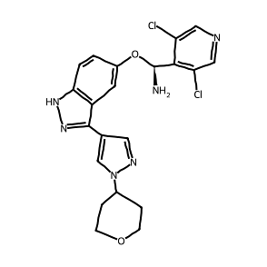 N[C@@H](Oc1ccc2[nH]nc(-c3cnn(C4CCOCC4)c3)c2c1)c1c(Cl)cncc1Cl